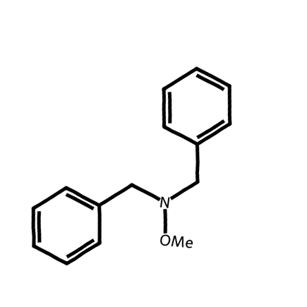 CON(Cc1ccccc1)Cc1ccccc1